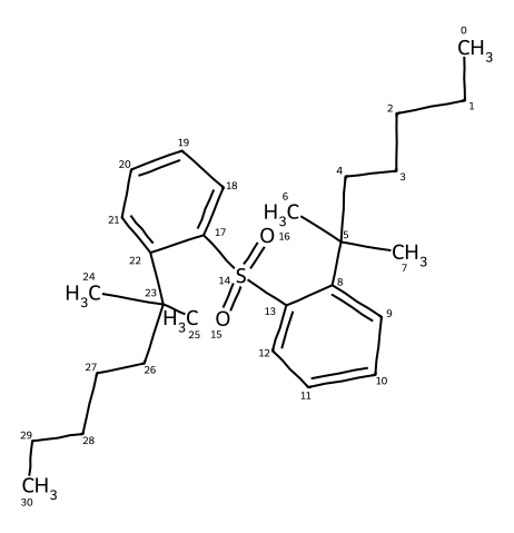 CCCCCC(C)(C)c1ccccc1S(=O)(=O)c1ccccc1C(C)(C)CCCCC